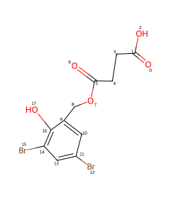 O=C(O)CCC(=O)OCc1cc(Br)cc(Br)c1O